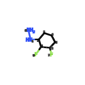 NNC1CCCC(F)C1F